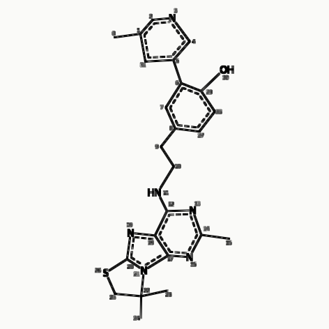 Cc1cncc(-c2cc(CCNc3nc(C)nc4c3nc3n4C(C)(C)CS3)ccc2O)c1